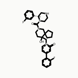 O=C(N1CCC(O)(Cn2ccc(-c3ccccc3F)cc2=O)C2(CCCC2)C1)N1CCNC[C@H]1c1cccc(F)c1